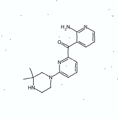 CC1(C)CN(c2cccc(C(=O)c3cccnc3N)n2)CCN1